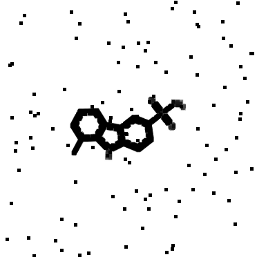 Cc1cccc2c1[nH]c1ccc(S(N)(=O)=O)cc12